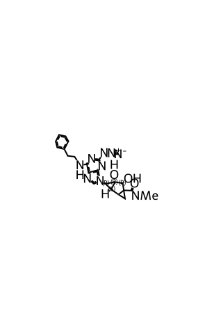 CNC(=O)C12CC1[C@H]1[C@@H](n3cnc4c(NCCc5ccccc5)nc(N=[N+]=[N-])nc43)[C@@]1(O)[C@@H]2O